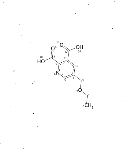 CCOCc1cnc(C(=O)O)c(C(=O)O)c1